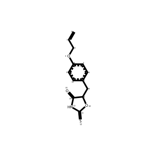 C=CCOc1ccc(CC2OC(=S)NC2=O)cc1